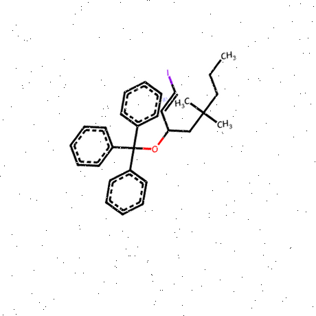 CCCC(C)(C)CC(/C=C/I)OC(c1ccccc1)(c1ccccc1)c1ccccc1